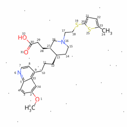 COc1ccc2nccc(CCC[C@@H]3CCN(CCSc4ccc(C)s4)C[C@@H]3CCC(=O)O)c2c1